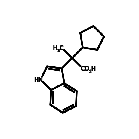 CC(C(=O)O)(c1c[nH]c2ccccc12)C1CCCC1